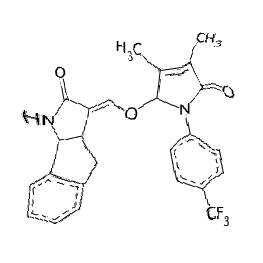 CC1=C(C)C(O/C=C2/C(=O)NC3c4ccccc4CC23)N(c2ccc(C(F)(F)F)cc2)C1=O